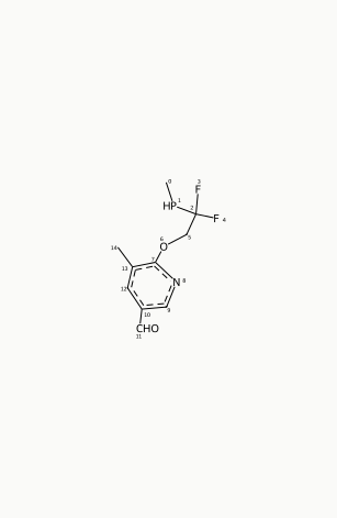 CPC(F)(F)COc1ncc(C=O)cc1C